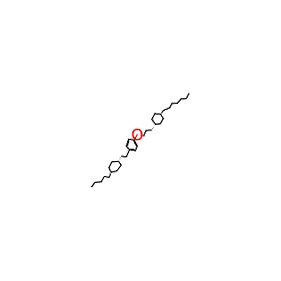 CCCCCCC[C@H]1CC[C@H](CCCOc2ccc(CC[C@H]3CC[C@H](CCCCC)CC3)cc2)CC1